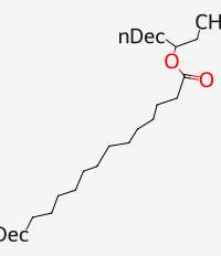 CCCCCCCCCCCCCCCCCCCCCCC(=O)OC(CC=O)CCCCCCCCCC